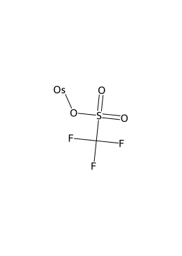 O=S(=O)([O][Os])C(F)(F)F